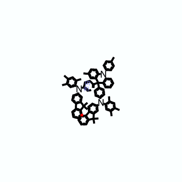 C=C(/C=C\C(=C/C)N(c1ccc2c(c1)C(C)(C)c1ccccc1-2)c1cc(C)c(C)cc1C)C1(c2ccc(N(c3ccc4c(c3)C(C)(C)c3ccccc3-4)c3cc(C)c(C)cc3C)cc2)c2ccccc2N(c2ccc(C)cc2)c2ccc(C)cc21